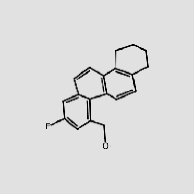 [O]Cc1cc(F)cc2ccc3c4c(ccc3c12)CCCC4